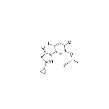 C#CC(C)Oc1cc(-n2nc(C3CC3)sc2=O)c(F)cc1Cl